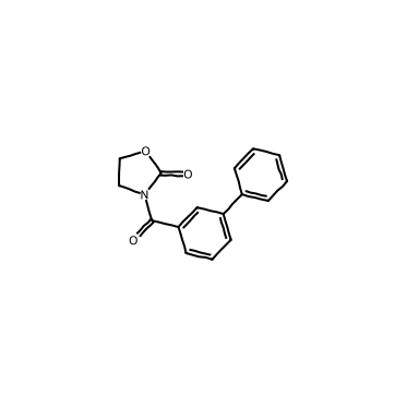 O=C1OCCN1C(=O)c1cccc(-c2ccccc2)c1